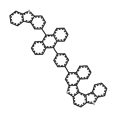 c1ccc2c(c1)sc1ccc(-c3c4ccccc4c(-c4ccc(-c5cc6sc7ccc8sc9ccccc9c8c7c6c6ccccc56)cc4)c4ccccc34)cc12